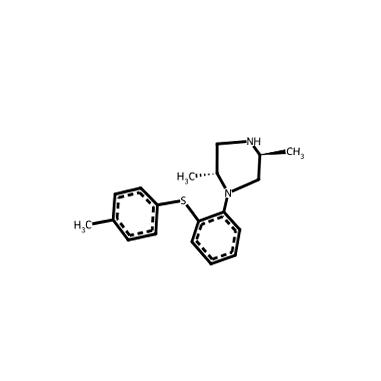 Cc1ccc(Sc2ccccc2N2C[C@H](C)NC[C@H]2C)cc1